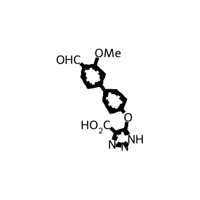 COc1cc(-c2ccc(Oc3[nH]nnc3C(=O)O)cc2)ccc1C=O